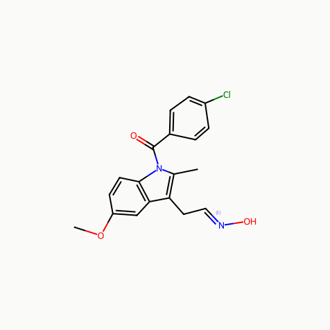 COc1ccc2c(c1)c(C/C=N/O)c(C)n2C(=O)c1ccc(Cl)cc1